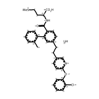 CSCC[C@H](NC(=O)c1ccc(CCc2ccc(Oc3ccccc3Cl)nc2)cc1-c1ccccc1C)C(=O)O.[LiH]